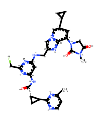 Cc1ccnc(C2C[C@@H]2C(=O)Nc2cc(NCc3cn4cc(C5CC5)cc(N5CC(=O)N(C)C5=O)c4n3)nc(CF)n2)n1